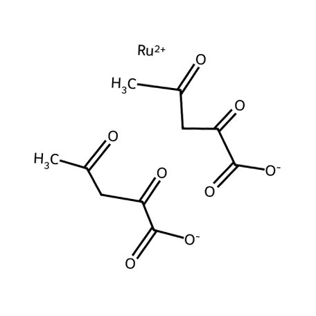 CC(=O)CC(=O)C(=O)[O-].CC(=O)CC(=O)C(=O)[O-].[Ru+2]